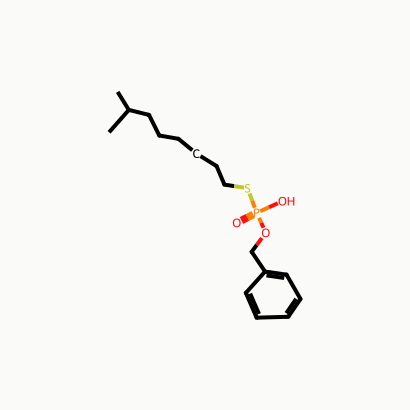 CC(C)CCCCCCSP(=O)(O)OCc1ccccc1